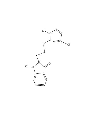 O=C1c2ccccc2C(=O)N1CCSc1cc(Cl)ccc1Cl